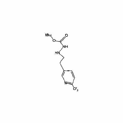 CC(C)(C)OC(=O)NNCCc1ccc(C(F)(F)F)nc1